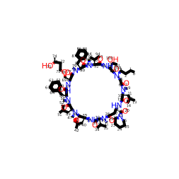 CCCCN1CC(=O)N(C)[C@@H](CC(C)C)C(=O)N[C@H](C(=O)N2CCCCC2)CC(=O)N(C)[C@@H](C(C)C)C(=O)N[C@@H](CC(C)C)C(=O)N(C)[C@@H](CC(C)C)C(=O)N(C)[C@@H](Cc2ccccc2)C(=O)N[C@@H](COCC[C@H](C)O)C(=O)N(C)[C@@H](Cc2ccccc2)C(=O)N(C)[C@@H](C(C)C)C(=O)N[C@@H](C(C)O)C1=O